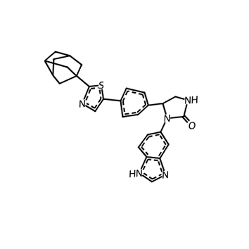 O=C1NCC(c2ccc(-c3cnc(C45CC6CC(C4)C(C6)C5)s3)cc2)N1c1ccc2[nH]cnc2c1